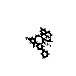 C=C1C2C(CCc3cc(F)cc(F)c3-c3ccc(-c4ccccc4)c[n+]31)c1cccc3c1C1N(C=CN21)CC3